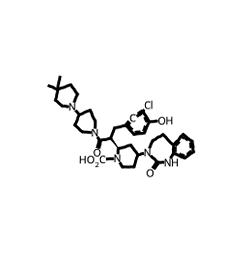 CC1(C)CCN(C2CCN(C(=O)C(Cc3ccc(O)c(Cl)c3)[C@H]3CC(N4CCc5ccccc5NC4=O)CCN3C(=O)O)CC2)CC1